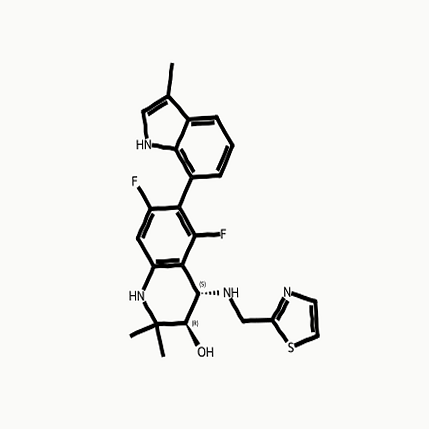 Cc1c[nH]c2c(-c3c(F)cc4c(c3F)[C@H](NCc3nccs3)[C@@H](O)C(C)(C)N4)cccc12